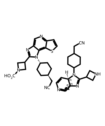 N#CCC1CCC(N2C(C3CNC3)=N[C@]34SC=CC3=NC=C[C@@H]24)CC1.N#CC[C@H]1CC[C@H](n2c(C3CN(C(=O)O)C3)nc3cnc4ccsc4c32)CC1